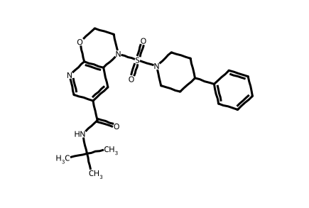 CC(C)(C)NC(=O)c1cnc2c(c1)N(S(=O)(=O)N1CCC(c3ccccc3)CC1)CCO2